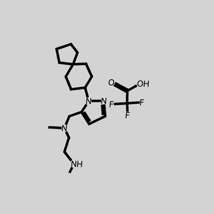 CNCCN(C)Cc1ccnn1C1CCC2(CCCC2)CC1.O=C(O)C(F)(F)F